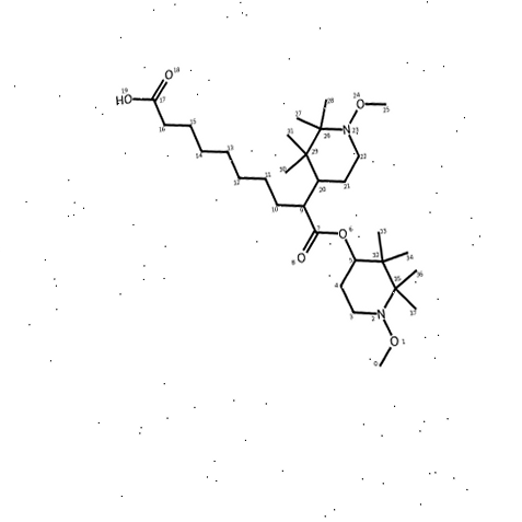 CON1CCC(OC(=O)C(CCCCCCCC(=O)O)C2CCN(OC)C(C)(C)C2(C)C)C(C)(C)C1(C)C